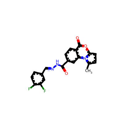 Cc1ccc2oc(=O)c3ccc(C(=O)N/N=C/c4ccc(F)c(F)c4)cc3n12